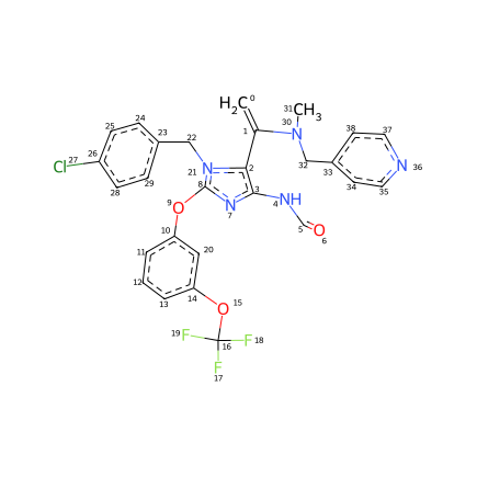 C=C(c1c(NC=O)nc(Oc2cccc(OC(F)(F)F)c2)n1Cc1ccc(Cl)cc1)N(C)Cc1ccncc1